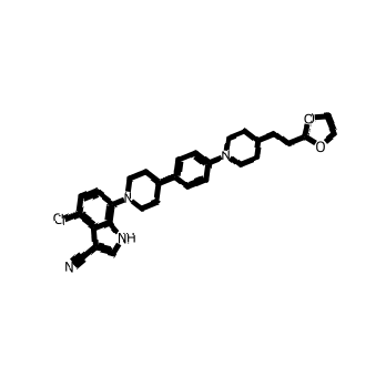 N#Cc1c[nH]c2c(N3CCC(c4ccc(N5CCC(CCC6OCCO6)CC5)cc4)CC3)ccc(Cl)c12